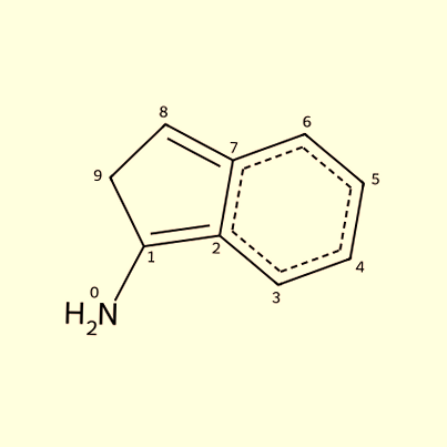 NC1=c2ccccc2=CC1